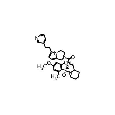 COc1cc(C)c(S(=O)(=O)N2CCCCC2CCC(=O)N2CCn3c(CCc4cccnc4)ccc3C2)c(C)c1